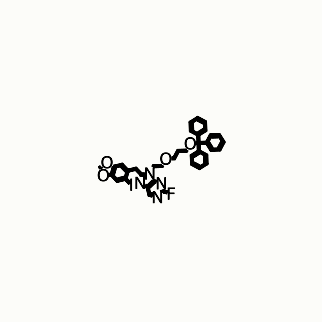 Fc1ncc2nc(Cc3cc4c(cc3I)OCO4)n(CCOCCCOC(c3ccccc3)(c3ccccc3)c3ccccc3)c2n1